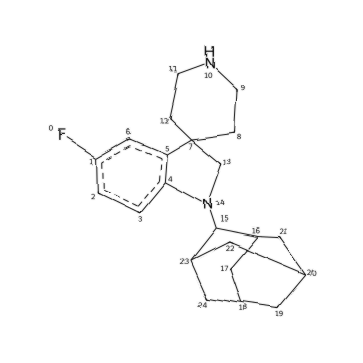 Fc1ccc2c(c1)C1(CCNCC1)CN2C1C2CC3CC(C2)CC1C3